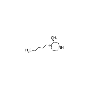 C=C1CNCCN1CCCCC